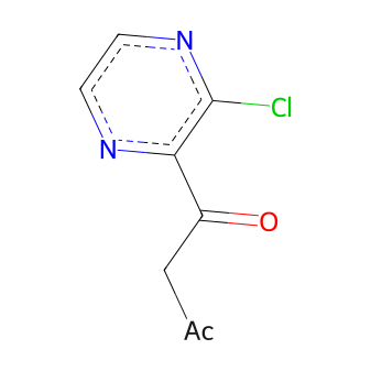 CC(=O)CC(=O)c1nccnc1Cl